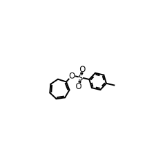 Cc1ccc(S(=O)(=O)OC2=CC=CC=CC2)cc1